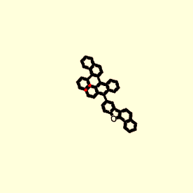 c1ccc(-c2c(-c3c4ccccc4c(-c4ccc5oc6c7ccccc7ccc6c5c4)c4ccccc34)ccc3ccccc23)cc1